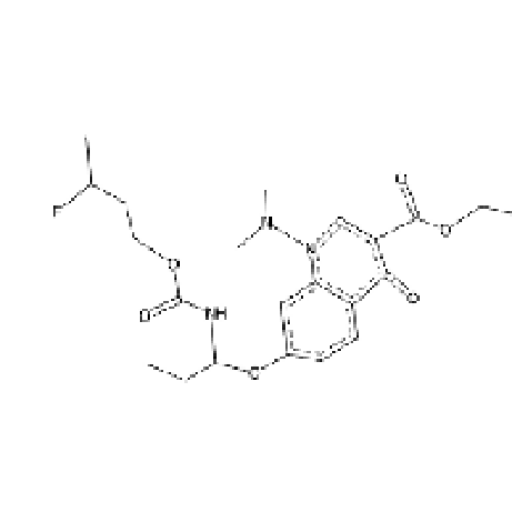 CCOC(=O)c1cn(N(C)C)c2cc(OC(CC)NC(=O)OCCC(C)F)ccc2c1=O